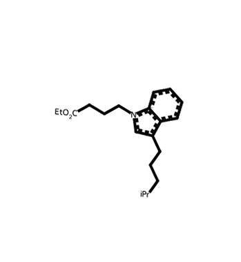 CCOC(=O)CCCn1cc(CCCC(C)C)c2ccccc21